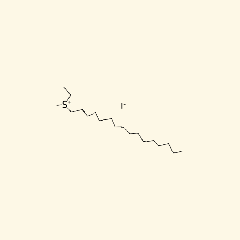 CCCCCCCCCCCCCCCC[S+](C)CC.[I-]